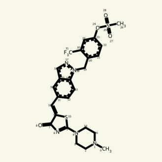 CN1CCN(C2=NC(=O)/C(=C/c3ccc4c(cnn4Cc4ccc(OS(C)(=O)=O)cc4C(F)(F)F)c3)S2)CC1